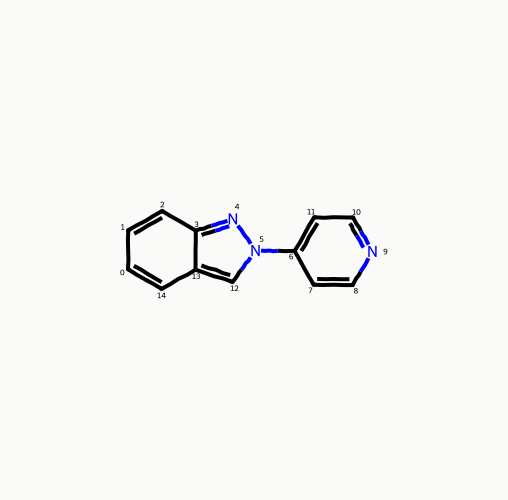 c1ccc2nn(-c3ccncc3)cc2c1